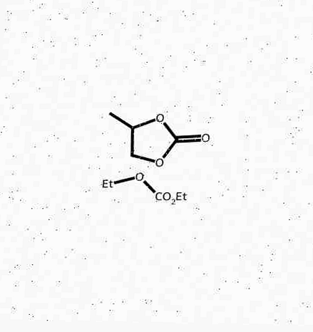 CC1COC(=O)O1.CCOC(=O)OCC